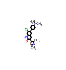 Cc1nc(C)c(-c2cc3cc(-c4ccc(N(C)C)cc4)c(Cl)cc3[nH]c2=O)s1